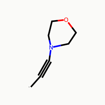 [CH2]C#CN1CCOCC1